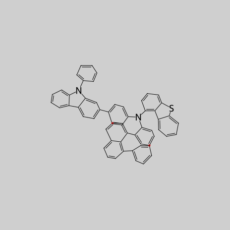 c1ccc(-c2cccc3cccc(-c4ccccc4N(c4ccc(-c5ccc6c7ccccc7n(-c7ccccc7)c6c5)cc4)c4cccc5sc6ccccc6c45)c23)cc1